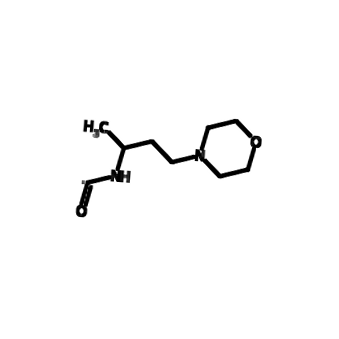 CC(CCN1CCOCC1)N[C]=O